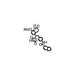 COc1ccc(C(Cc2ccc(NC(=O)c3ccc4ccccc4c3)cc2)C2SC(=O)NC2=O)c2c1NC(=O)CC2